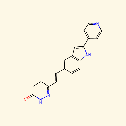 O=C1CCC(/C=C/c2ccc3[nH]c(-c4ccncc4)cc3c2)=NN1